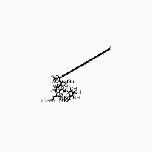 C#CC#CC#CC#CC#CC#CC#CC#CC#CC#CC#C[C@H]1OC(C)(C)O[C@H]1[C@@H](O[Si](C)(C)C(C)(C)C)C(=O)N[C@@H](COC1OC(CO)C(O)C(O)C1O)[C@H](O[Si](C)(C)C(C)(C)C)[C@@H](CCCCCCCCCCCCCC)O[Si](C)(C)C(C)(C)C